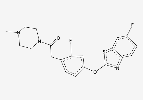 CN1CCN(C(=O)Cc2ccc(Oc3nc4ccc(F)cc4s3)cc2F)CC1